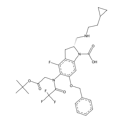 CC(C)(C)OC(=O)CN(C(=O)C(F)(F)F)c1c(OCc2ccccc2)cc2c(c1F)C[C@H](CNCCC1CC1)N2C(=O)O